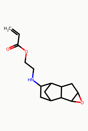 C=CC(=O)OCCNC1CC2CC1C1CC3OC3C21